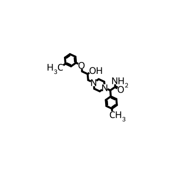 Cc1ccc(C(C(N)=O)N2CCN(CC(O)COc3cccc(C)c3)CC2)cc1